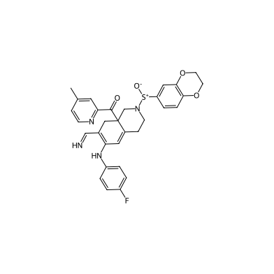 Cc1ccnc(C(=O)C23CC(C=N)=C(Nc4ccc(F)cc4)C=C2CCN([S+]([O-])c2ccc4c(c2)OCCO4)C3)c1